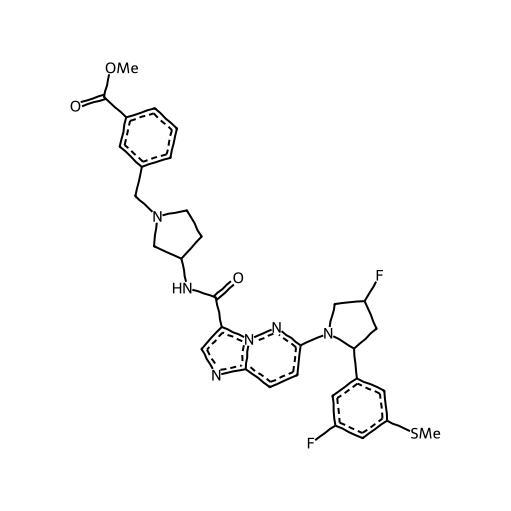 COC(=O)c1cccc(CN2CCC(NC(=O)c3cnc4ccc(N5CC(F)CC5c5cc(F)cc(SC)c5)nn34)C2)c1